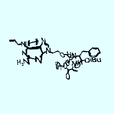 C=CCNc1nc(N)nc2c1ncn2CCOCP(=O)(NC(C)C(=O)OC(C)C)NC(Cc1ccccc1)C(=O)OCC(C)C